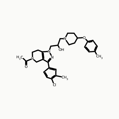 CC(=O)N1CCc2c(c(-c3ccc(Cl)c(C)c3)nn2CC(O)CN2CCC(Oc3ccc(C)cc3)CC2)C1